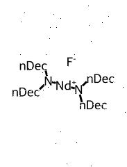 CCCCCCCCCC[N](CCCCCCCCCC)[Nd+][N](CCCCCCCCCC)CCCCCCCCCC.[F-]